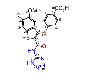 COc1cc2c(Sc3ccc(C(=O)O)cc3)c(C(=O)Nc3nnn[nH]3)sc2cc1C